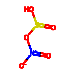 O=[N+]([O-])OS(=O)O